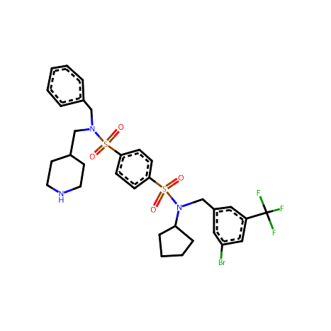 O=S(=O)(c1ccc(S(=O)(=O)N(Cc2cc(Br)cc(C(F)(F)F)c2)C2CCCC2)cc1)N(Cc1ccccc1)CC1CCNCC1